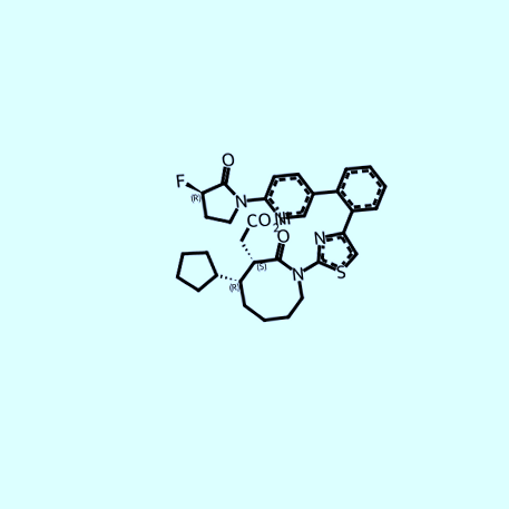 O=C(O)C[C@@H]1C(=O)N(c2nc(-c3ccccc3-c3ccc(N4CC[C@@H](F)C4=O)nc3)cs2)CCCC[C@@H]1C1CCCC1